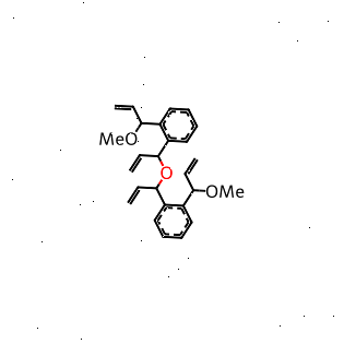 C=CC(OC)c1ccccc1C(C=C)OC(C=C)c1ccccc1C(C=C)OC